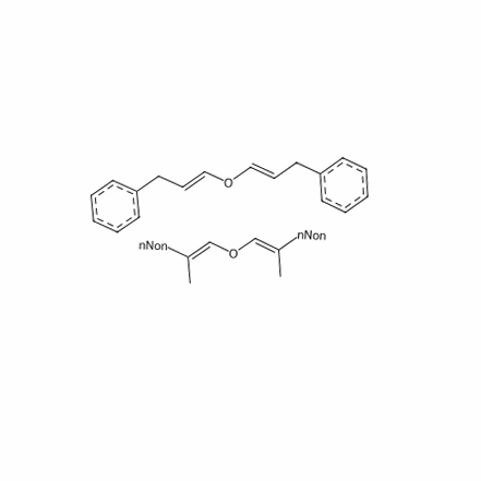 C(=COC=CCc1ccccc1)Cc1ccccc1.CCCCCCCCCC(C)=COC=C(C)CCCCCCCCC